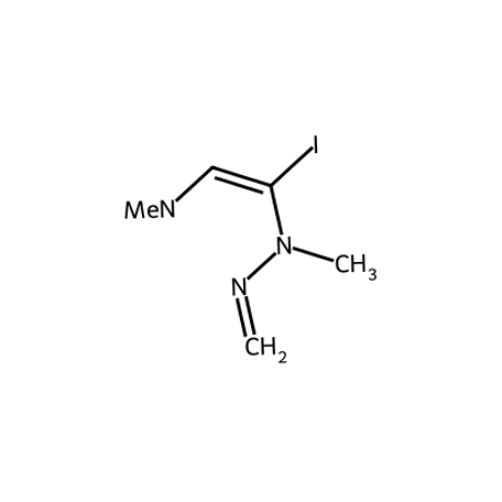 C=NN(C)/C(I)=C\NC